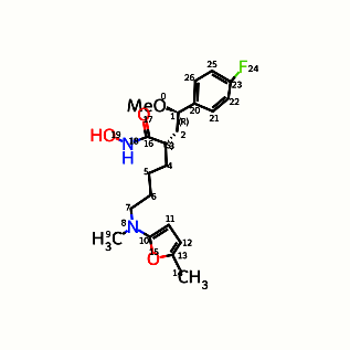 CO[C@H](C[C@H](CCCCN(C)c1ccc(C)o1)C(=O)NO)c1ccc(F)cc1